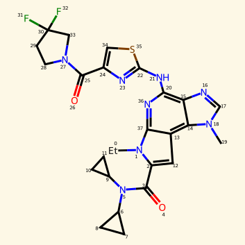 CCn1c(C(=O)N(C2CC2)C2CC2)cc2c3c(ncn3C)c(Nc3nc(C(=O)N4CCC(F)(F)C4)cs3)nc21